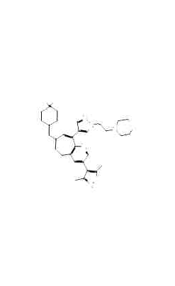 Cc1noc(C)c1-c1cnc2c(c1)CCC(CC1CCC(F)(F)CC1)C=C2c1cnn(CCN2CCOCC2)c1